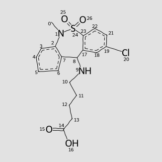 CN1c2ccccc2C(NCCCCC(=O)O)c2cc(Cl)ccc2S1(=O)=O